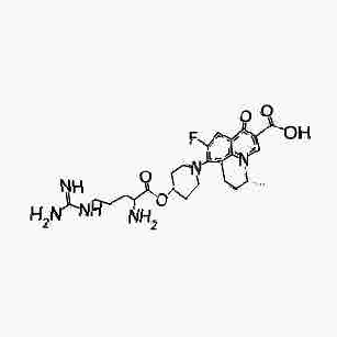 C[C@@H]1CCc2c(N3CCC(OC(=O)C(N)CCCNC(=N)N)CC3)c(F)cc3c(=O)c(C(=O)O)cn1c23